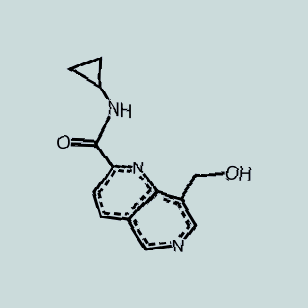 O=C(NC1CC1)c1ccc2cncc(CO)c2n1